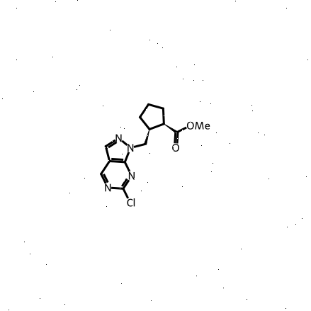 COC(=O)[C@@H]1CCC[C@@H]1Cn1ncc2cnc(Cl)nc21